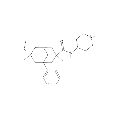 CCC1(C)CC2CC(C)(C(=O)NC3CCNCC3)CC(c3ccccc3)(C2)C1